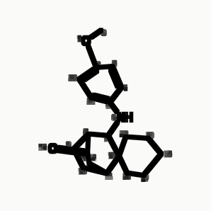 COc1ccc(NC2C3CCC(CC3=O)C23CCCCC3)cc1